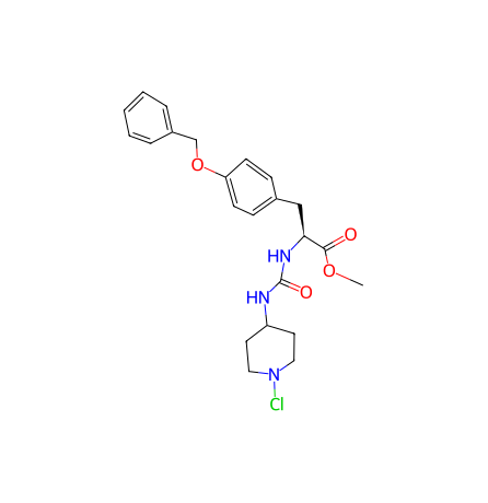 COC(=O)[C@H](Cc1ccc(OCc2ccccc2)cc1)NC(=O)NC1CCN(Cl)CC1